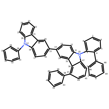 c1ccc(-c2ccccc2-n2c3ccc(-c4ccc5c(c4)c4ccccc4n5-c4ccccc4)cc3c3c(-c4ccccc4)cccc32)cc1